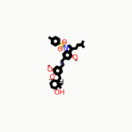 COc1cc(/C=C/c2cc(OC)c3c(CC=C(C)C)cn(S(=O)(=O)c4ccc(C)cc4)c3c2)cc2c1O[C@]1(C)CC[C@@H](O)C(C)(C)[C@H]1C2